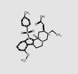 CC[C@H]1CN2CCc3c(n(S(=O)(=O)c4ccc(C)cc4)c4cccc(OC)c34)[C@@H]2CC1=CC(=O)O